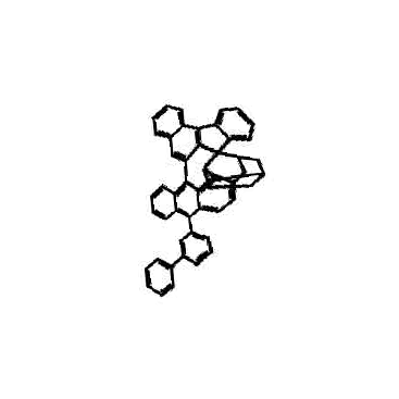 c1ccc(-c2cccc(-c3c4ccccc4c(-c4cc5ccccc5c5c4C4(c6ccccc6-5)C5CC6CC(C5)CC4C6)c4ccccc34)c2)cc1